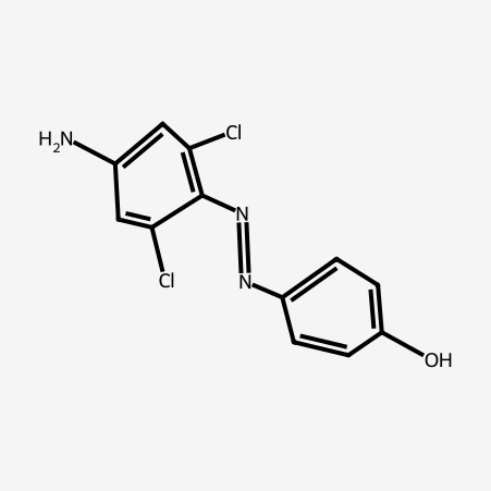 Nc1cc(Cl)c(/N=N/c2ccc(O)cc2)c(Cl)c1